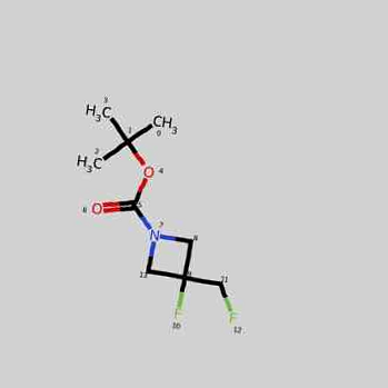 CC(C)(C)OC(=O)N1CC(F)(CF)C1